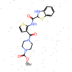 CC(C)(C)OC(=O)N1CCN(C(=O)c2ccsc2NC(=O)C2Nc3ccccc3S2)CC1